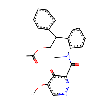 CCCCOc1c[nH]nc(C(=O)N(C[C@H](OC(=O)C(F)(F)F)C(c2ccccc2)c2ccccc2)C(C)C)c1=O